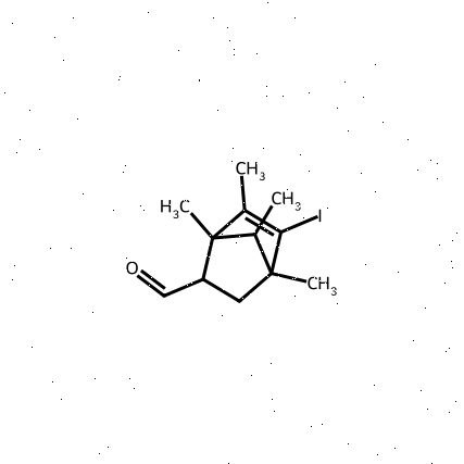 CC1=C(I)C2(C)CC(C=O)C1(C)C2C